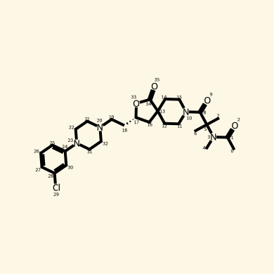 CC(=O)N(C)C(C)(C)C(=O)N1CCC2(CC1)C[C@H](CCN1CCN(c3cccc(Cl)c3)CC1)OC2=O